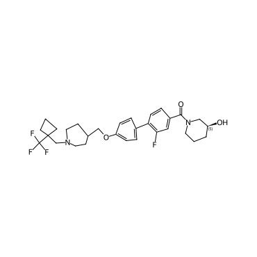 O=C(c1ccc(-c2ccc(OCC3CCN(CC4(C(F)(F)F)CCC4)CC3)cc2)c(F)c1)N1CCC[C@H](O)C1